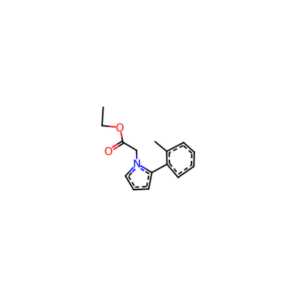 CCOC(=O)Cn1cccc1-c1ccccc1C